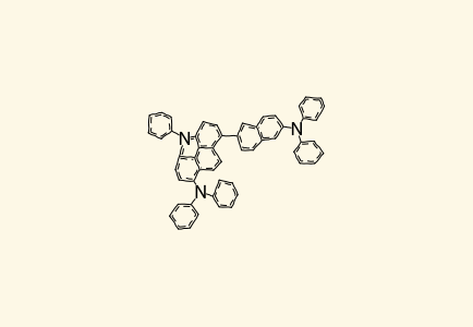 c1ccc(N(c2ccccc2)c2ccc3cc(-c4ccc5c6c4ccc4c(N(c7ccccc7)c7ccccc7)ccc(c46)n5-c4ccccc4)ccc3c2)cc1